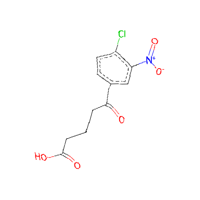 O=C(O)CCCC(=O)c1ccc(Cl)c([N+](=O)[O-])c1